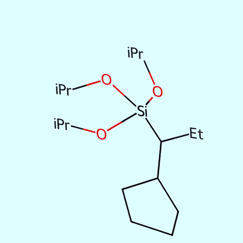 CCC(C1CCCC1)[Si](OC(C)C)(OC(C)C)OC(C)C